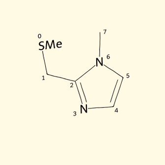 CSCc1nccn1C